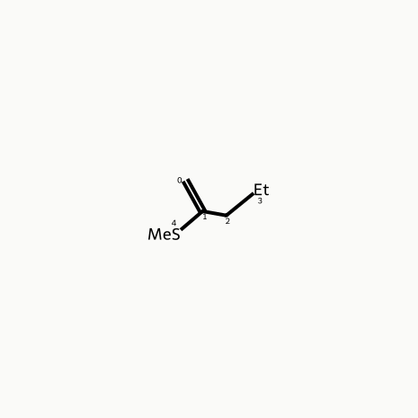 C=C(CCC)SC